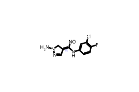 NN1C/C(=C(\N=O)Nc2ccc(F)c(Cl)c2)C=N1